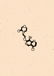 O=C1COCCN1CCOc1ncc2c(Cl)ccnc2c1Br